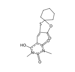 Cn1c(O)c(/C=C2/SC3(CCCCC3)OC2=O)c(=O)n(C)c1=O